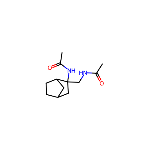 CC(=O)NCC1(NC(C)=O)CC2CCC1C2